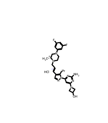 CC(C)c1c(/C=C/CN2CCN(c3cc(F)cc(F)c3)C[C@H]2C)cnn1-c1cc(N2CC(O)C2)nc(N)n1.Cl